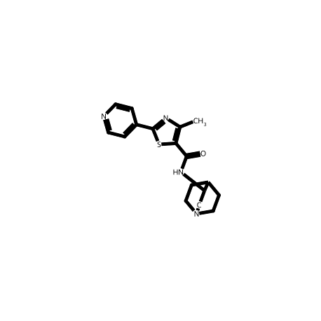 Cc1nc(-c2ccncc2)sc1C(=O)NC1CN2CCC1CC2